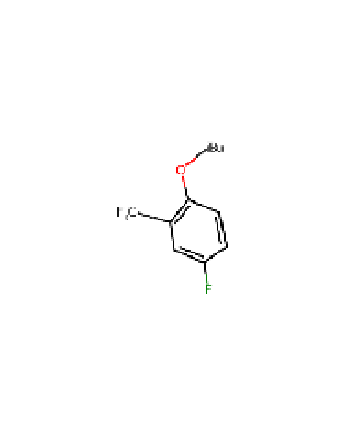 [CH2]C(CC)Oc1ccc(F)cc1C(F)(F)F